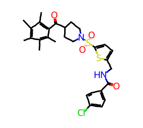 Cc1c(C)c(C)c(C(=O)C2CCN(S(=O)(=O)c3ccc(CNC(=O)c4ccc(Cl)cc4)s3)CC2)c(C)c1C